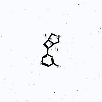 Brc1cncc(C2=C[C@H]3CNC[C@@H]23)c1